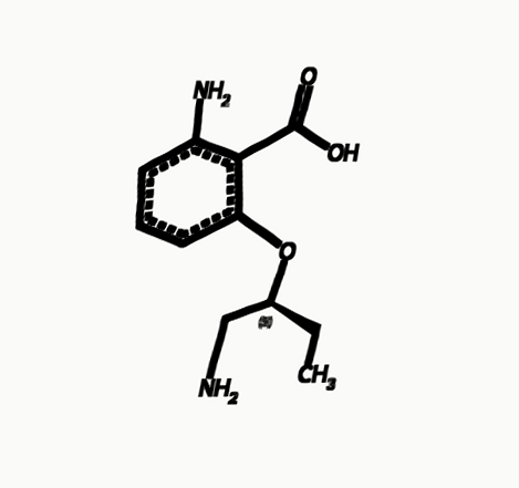 CC[C@@H](CN)Oc1cccc(N)c1C(=O)O